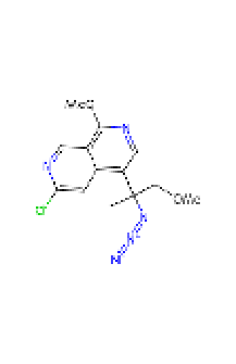 COCC(C)(N=[N+]=[N-])c1cnc(OC)c2cnc(Cl)cc12